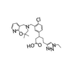 CCn1cc(CCC(CC(=O)O)c2ccc(Cl)c(CN3Cc4cccnc4OC(C)(C)C3)c2)nn1